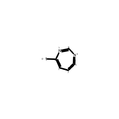 IC1=CC=C=NC=N1